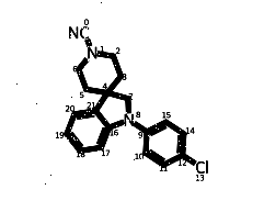 N#CN1CCC2(CC1)CN(c1ccc(Cl)cc1)c1ccccc12